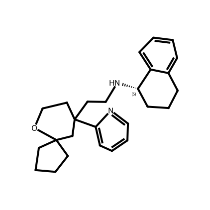 c1ccc(C2(CCN[C@H]3CCCc4ccccc43)CCOC3(CCCC3)C2)nc1